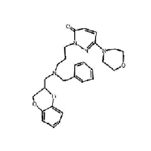 O=c1ccc(N2CCOCC2)nn1CCCN(Cc1ccccc1)CC1COc2ccccc2O1